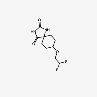 O=C1NC(=O)C2(CCC(OCC(F)F)CC2)N1